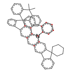 CC1(C)c2ccccc2C2(c3ccccc3-c3ccc(N(c4ccc5c(c4)C4(CCCCC4)c4ccccc4-5)c4ccccc4-c4ccccc4-c4ccccc4-c4ccccc4)cc32)c2ccccc21